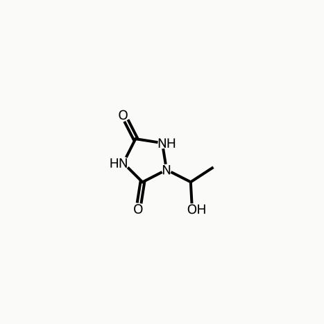 CC(O)n1[nH]c(=O)[nH]c1=O